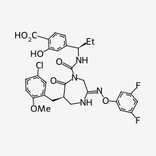 CC[C@@H](NC(=O)N1C/C(=N/Oc2cc(F)cc(F)c2)NC[C@@H](Cc2cc(Cl)ccc2OC)C1=O)c1ccc(C(=O)O)c(O)c1